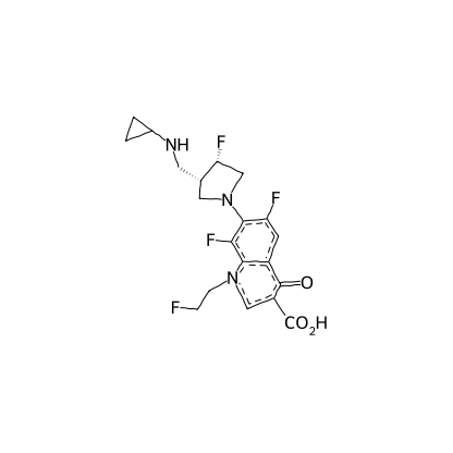 O=C(O)c1cn(CCF)c2c(F)c(N3C[C@H](CNC4CC4)[C@H](F)C3)c(F)cc2c1=O